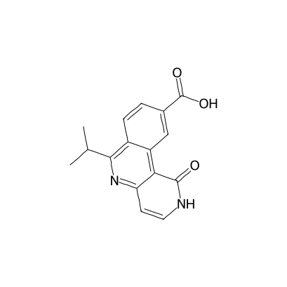 CC(C)c1nc2cc[nH]c(=O)c2c2cc(C(=O)O)ccc12